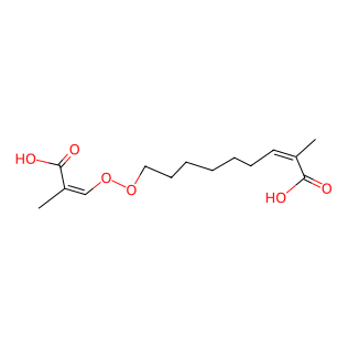 CC(=CCCCCCCOOC=C(C)C(=O)O)C(=O)O